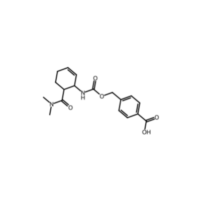 CN(C)C(=O)C1CCC=CC1NC(=O)OCc1ccc(C(=O)O)cc1